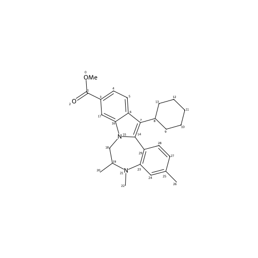 COC(=O)c1ccc2c(C3CCCCC3)c3n(c2c1)CC(C)N(C)c1cc(C)ccc1-3